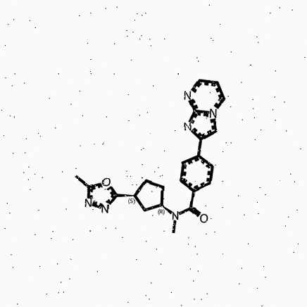 Cc1nnc([C@H]2CC[C@@H](N(C)C(=O)c3ccc(-c4cn5cccnc5n4)cc3)C2)o1